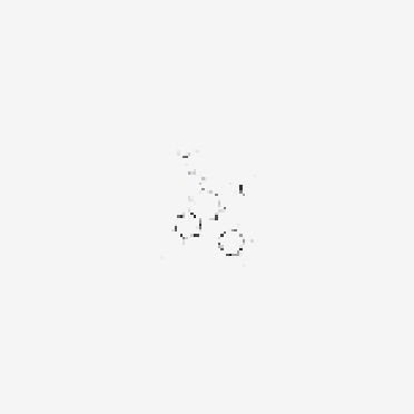 COc1ccc2c(c1)C(c1ccc(Br)cc1)=N[C@@H](CC(=O)O)/C(=N/NC(C)=O)N2